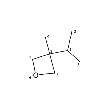 CC(C)C1(C)COC1